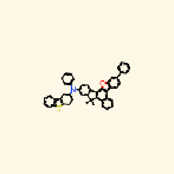 CC1(C)c2cc(N(C3=CC=CCC3)C3=Cc4c(sc5ccccc45)CC3)ccc2-c2c1c1ccccc1c1c2oc2cc(-c3ccccc3)ccc21